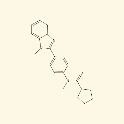 CN(C(=O)C1CCCC1)c1ccc(-c2nc3ccccc3n2C)cc1